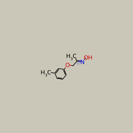 C/C(COc1cccc(C)c1)=N\O